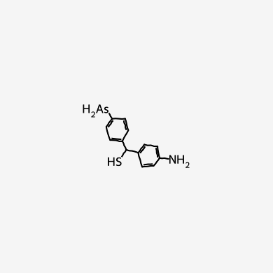 Nc1ccc(C(S)c2ccc([AsH2])cc2)cc1